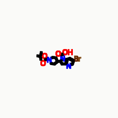 CC(C)(C)OC(=O)N1CCC(C2Cc3ncc(Br)cc3N2C(=O)O)CC1